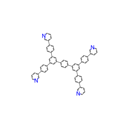 c1cncc(-c2ccc(-c3cc(-c4ccc(-c5cccnc5)cc4)cc(-c4ccc(-c5cc(-c6ccc(-c7cccnc7)cc6)cc(-c6ccc(-c7cccnc7)cc6)c5)cc4)c3)cc2)c1